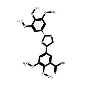 COc1cc([C@@H]2SC[C@@H](c3cc(OC)c(OC)c(C(=O)O)c3)S2)cc(OC)c1OC